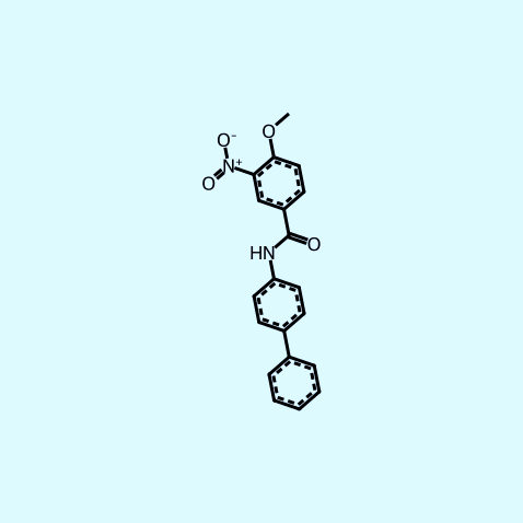 COc1ccc(C(=O)Nc2ccc(-c3ccccc3)cc2)cc1[N+](=O)[O-]